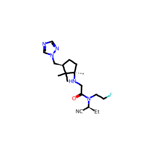 CC[C@@H](C#N)N(CCF)C(=O)CN[C@]1(C)CC[C@H](Cn2cncn2)C1(C)C